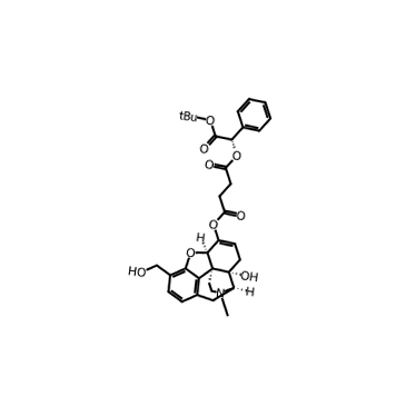 CN1CC[C@]23c4c5ccc(CO)c4O[C@H]2C(OC(=O)CCC(=O)O[C@H](C(=O)OC(C)(C)C)c2ccccc2)=CC[C@@]3(O)[C@H]1C5